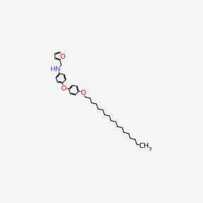 CCCCCCCCCCCCCCCCCCOc1ccc(Oc2ccc(NCc3ccco3)cc2)cc1